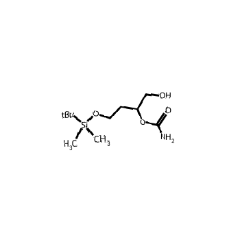 CC(C)(C)[Si](C)(C)OCCC(CO)OC(N)=O